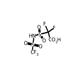 O=C(O)C(F)(F)S(=O)(=O)NS(=O)(=O)C(F)(F)F